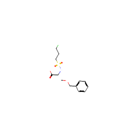 O=C(O)[C@@H](COCc1ccccc1)NS(=O)(=O)CCCCl